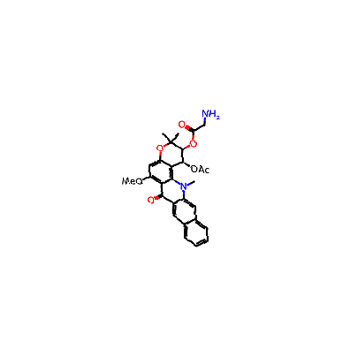 COc1cc2c(c3c1c(=O)c1cc4ccccc4cc1n3C)[C@H](OC(C)=O)[C@H](OC(=O)CN)C(C)(C)O2